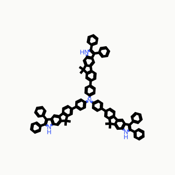 CC1(C)c2cc(-c3ccc(N(c4ccc(-c5ccc6c(c5)C(C)(C)c5cc7[nH]c(-c8ccccc8)c(-c8ccccc8)c7cc5-6)cc4)c4ccc(-c5ccc6c(c5)C(C)(C)c5cc7[nH]c(-c8ccccc8)c(-c8ccccc8)c7cc5-6)cc4)cc3)ccc2-c2cc3c(-c4ccccc4)c(-c4ccccc4)[nH]c3cc21